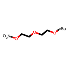 CCCCOCCOCCO[N+](=O)[O-]